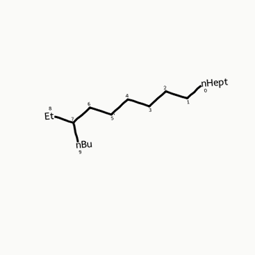 CCCCCCCCCCC[CH]CC(CC)CCCC